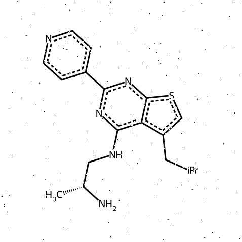 CC(C)Cc1csc2nc(-c3ccncc3)nc(NC[C@@H](C)N)c12